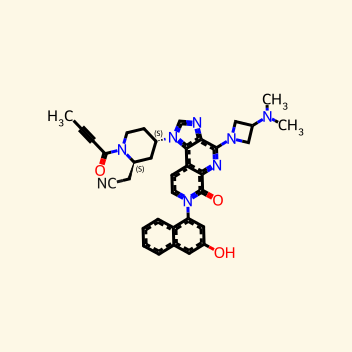 CC#CC(=O)N1CC[C@H](n2cnc3c(N4CC(N(C)C)C4)nc4c(=O)n(-c5cc(O)cc6ccccc56)ccc4c32)C[C@H]1CC#N